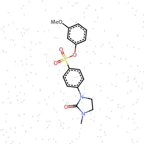 COc1cccc(OS(=O)(=O)c2ccc(N3CCN(C)C3=O)cc2)c1